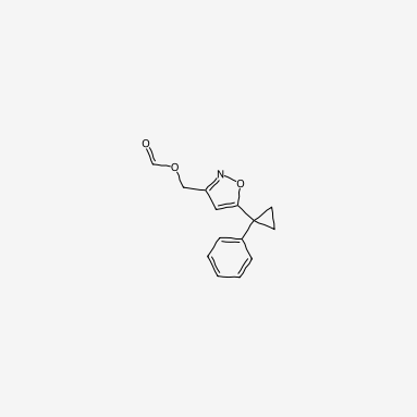 O=COCc1cc(C2(c3ccccc3)CC2)on1